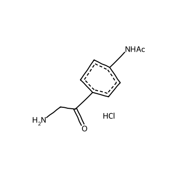 CC(=O)Nc1ccc(C(=O)CN)cc1.Cl